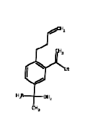 BC(B)(C)c1ccc(CCC=C)c(C(=C)CC)c1